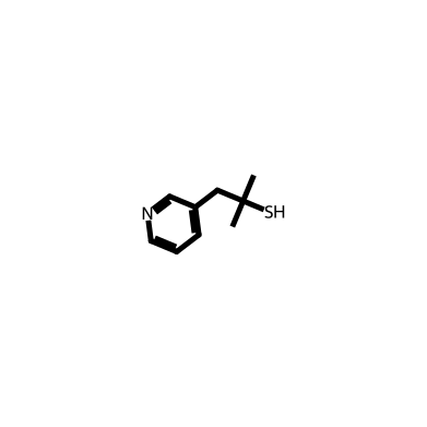 CC(C)(S)Cc1cccnc1